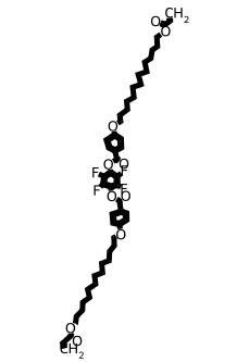 C=CC(=O)OCCCCCCCCCCCCCCOc1ccc(C(=O)Oc2c(F)c(F)c(OC(=O)c3ccc(OCCCCCCCCCCCCCCOC(=O)C=C)cc3)c(F)c2F)cc1